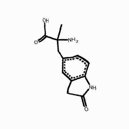 CC(N)(Cc1ccc2c(c1)CC(=O)N2)C(=O)O